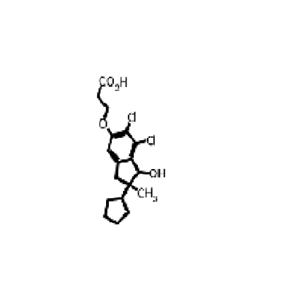 CC1(C2CCCC2)Cc2cc(OCCC(=O)O)c(Cl)c(Cl)c2C1O